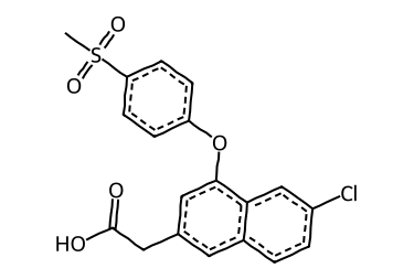 CS(=O)(=O)c1ccc(Oc2cc(CC(=O)O)cc3ccc(Cl)cc23)cc1